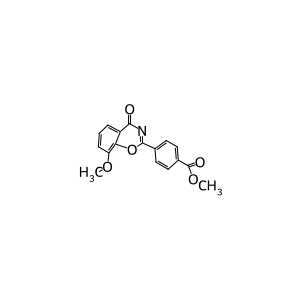 COC(=O)c1ccc(-c2nc(=O)c3cccc(OC)c3o2)cc1